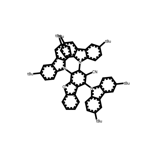 CC(C)(C)c1ccc2c(c1)c1cc(C(C)(C)C)ccc1n2-c1c(C#N)c(-n2c3ccc(C(C)(C)C)cc3c3cc(C(C)(C)C)ccc32)c2c(oc3ccccc32)c1-n1c2ccc(C(C)(C)C)cc2c2cc(C(C)(C)C)ccc21